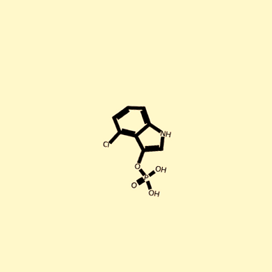 O=P(O)(O)Oc1c[nH]c2cccc(Cl)c12